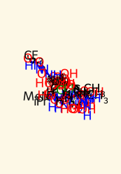 CN[C@H](CC(C)C)C(=O)NC1C(=O)N[C@@H](CC(N)=O)C(=O)N[C@H]2C(=O)N[C@H]3C(=O)N[C@H](C(=O)NC(O)c4cc(O)cc(O)c4-c4cc3ccc4O)[C@H](O[C@H]3C[C@](C)(NCc4c[nH]cn4)[C@@H](O)[C@H](C)O3)c3ccc(c(Cl)c3)Oc3cc2cc(c3O[C@@H]2O[C@H](CO)[C@@H](O[C@@H]3O[C@H](CNCCn4ccc(NC(=O)c5ccc(OC(F)(F)F)cc5)nc4=O)[C@H](O)[C@H](O)[C@H]3O)[C@H](O)[C@H]2O)Oc2ccc(cc2Cl)[C@H]1O